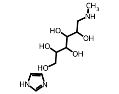 CNCC(O)C(O)C(O)C(O)CO.c1c[nH]cn1